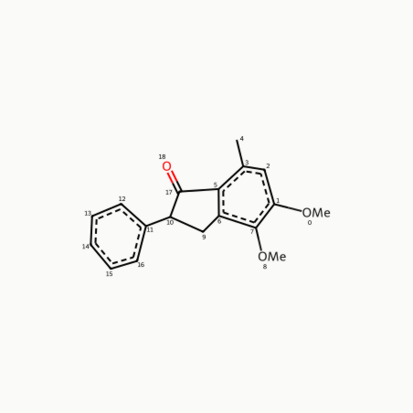 COc1cc(C)c2c(c1OC)CC(c1ccccc1)C2=O